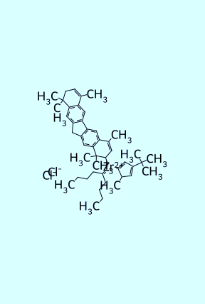 CCCC[C](CCCC)=[Zr+2]([C]1=CC(C(C)(C)C)=CC1C)[CH]1C=C(C)c2cc3c(cc2C1(C)C)Cc1cc2c(cc1-3)C(C)=CCC2(C)C.[Cl-].[Cl-]